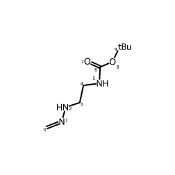 C=NNCCNC(=O)OC(C)(C)C